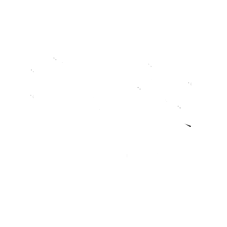 Cc1ccc([C@H](C)n2cnc3ccnc(NCc4ccc(-c5ccc6ncnc(N)c6c5)s4)c3c2=O)cc1F